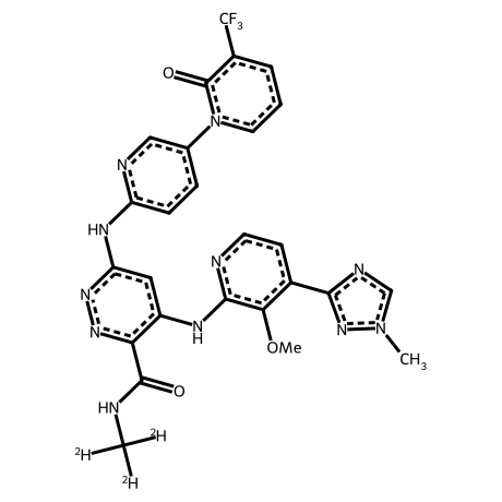 [2H]C([2H])([2H])NC(=O)c1nnc(Nc2ccc(-n3cccc(C(F)(F)F)c3=O)cn2)cc1Nc1nccc(-c2ncn(C)n2)c1OC